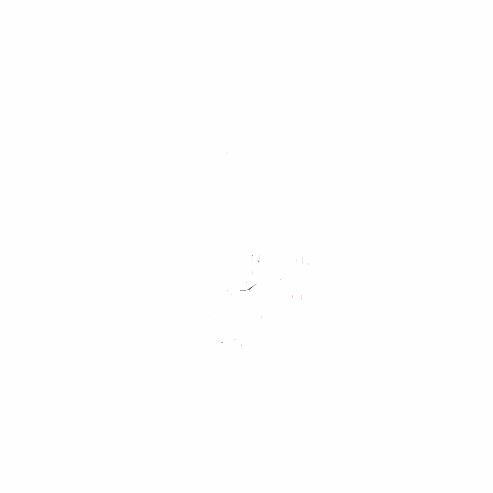 CC(C)(C)C(=O)[C@@H](c1ccccc1)N1CCC(c2ccccc2)CC1